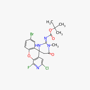 CN1C(=O)CC2(N/C1=N/C(=O)OC(C)(C)C)c1cc(Br)ccc1Oc1c2cc(Cl)nc1F